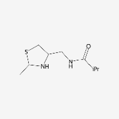 CC1NC(CNC(=O)C(C)C)CS1